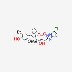 CCc1cc(CCC2(C3CCCC3)CC(O)=C(Cc3nc4ncc(Cl)cn4n3)C(=O)O2)c(OC)cc1O